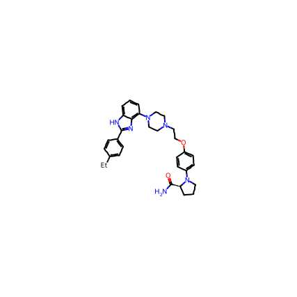 CCc1ccc(-c2nc3c(N4CCN(CCOc5ccc(N6CCC[C@H]6C(N)=O)cc5)CC4)cccc3[nH]2)cc1